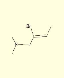 CC=C(Br)CN(C)C